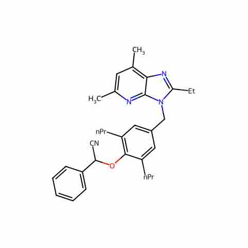 CCCc1cc(Cn2c(CC)nc3c(C)cc(C)nc32)cc(CCC)c1OC(C#N)c1ccccc1